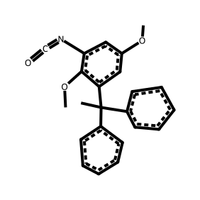 COc1cc(N=C=O)c(OC)c(C(C)(c2ccccc2)c2ccccc2)c1